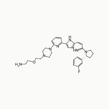 N=C(/C=C\c1ncc(-c2cccc(N3CCN(CCOCCN)CC3)n2)[nH]1)N1CCC[C@@H]1c1cccc(F)c1